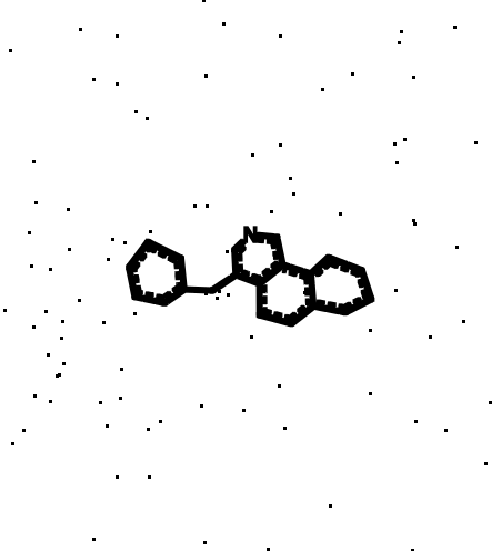 c1ccc(Cc2cncc3c2ccc2ccccc23)cc1